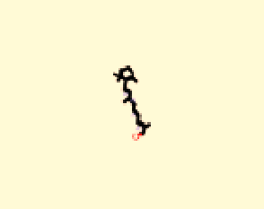 CC1=C(/C=C/C(C)=C/C=C/C=C(\C)C=O)C(C)(C)CCC1